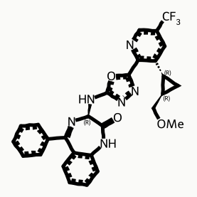 COC[C@@H]1C[C@H]1c1cc(C(F)(F)F)cnc1-c1nnc(N[C@@H]2N=C(c3ccccc3)c3ccccc3NC2=O)o1